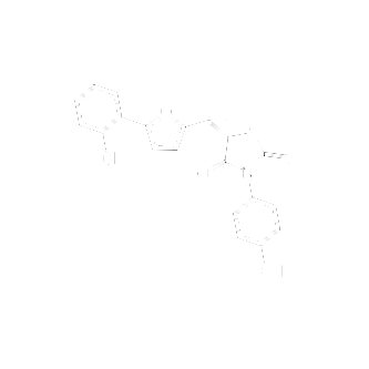 Cc1ccc(N2C(=O)/C(=C\c3ccc(-c4ccccc4Cl)o3)SC2=S)cc1